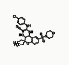 CCC1(CC)Oc2ccc(S(=O)(=O)N3CCOCC3)cc2C(NC(=NC#N)Nc2ccc(Cl)cc2)C1O